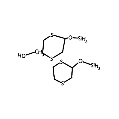 CO.[SiH3]OC1CSCCS1.[SiH3]OC1CSCCS1